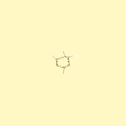 Cc1c(N)cc(C(F)(F)F)cc1C#N